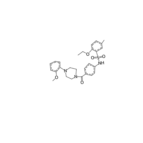 CCOc1ccc(C)cc1S(=O)(=O)Nc1ccc(C(=O)N2CCN(c3ccccc3OC)CC2)cc1